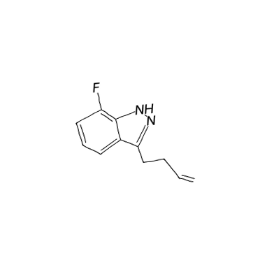 C=CCCc1n[nH]c2c(F)cccc12